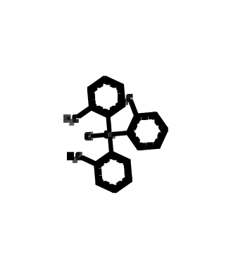 Cc1cccc[c]1[Ge]([Cl])([c]1ccccc1C)[c]1ccccc1C